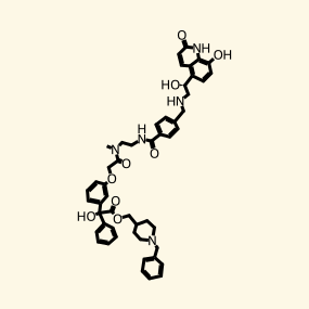 CN(CCNC(=O)c1ccc(CNC[C@H](O)c2ccc(O)c3[nH]c(=O)ccc23)cc1)C(=O)COc1cccc(C(O)(C(=O)OCC2CCN(Cc3ccccc3)CC2)c2ccccc2)c1